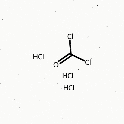 Cl.Cl.Cl.O=C(Cl)Cl